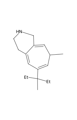 CCC(C)(CC)C1=CC(C)C=C2CNCCC2=C1